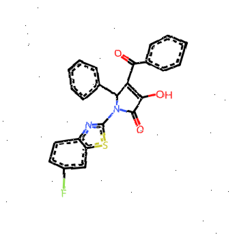 O=C(C1=C(O)C(=O)N(c2nc3ccc(F)cc3s2)C1c1ccccc1)c1ccccc1